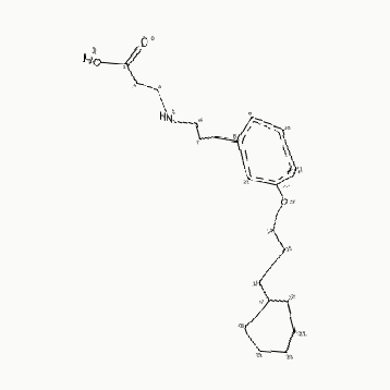 O=C(O)CCNCCc1cccc(OCCCC2CCCCC2)c1